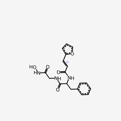 O=C(/C=C/c1ccco1)NC(Cc1ccccc1)C(=O)NCC(=O)NO